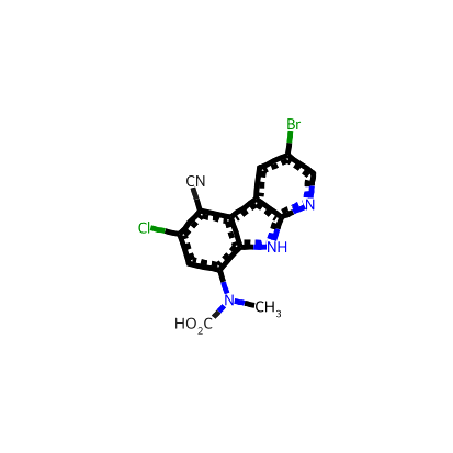 CN(C(=O)O)c1cc(Cl)c(C#N)c2c1[nH]c1ncc(Br)cc12